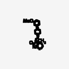 COc1cccc(N2CCN(CCN(C(N)=O)C3(C)CCCCC3)CC2)c1